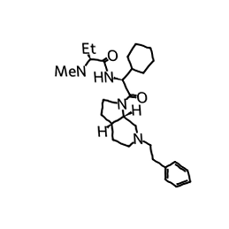 CC[C@H](NC)C(=O)N[C@H](C(=O)N1CC[C@H]2CCN(CCc3ccccc3)C[C@H]21)C1CCCCC1